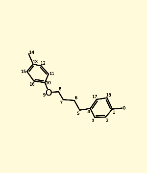 Cc1ccc(CCCCOc2ccc(C)cc2)cc1